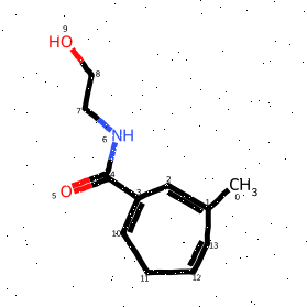 CC1=CC(C(=O)NCCO)=CCC=C1